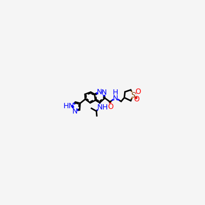 CC(C)Nc1c(C(=O)NCC2CCS(=O)(=O)C2)nnc2ccc(-c3cn[nH]c3)cc12